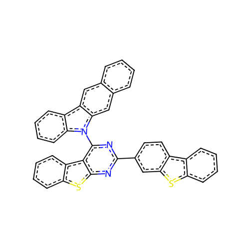 c1ccc2cc3c(cc2c1)c1ccccc1n3-c1nc(-c2ccc3c(c2)sc2ccccc23)nc2sc3ccccc3c12